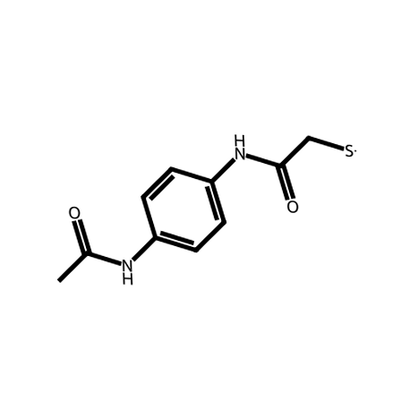 CC(=O)Nc1ccc(NC(=O)C[S])cc1